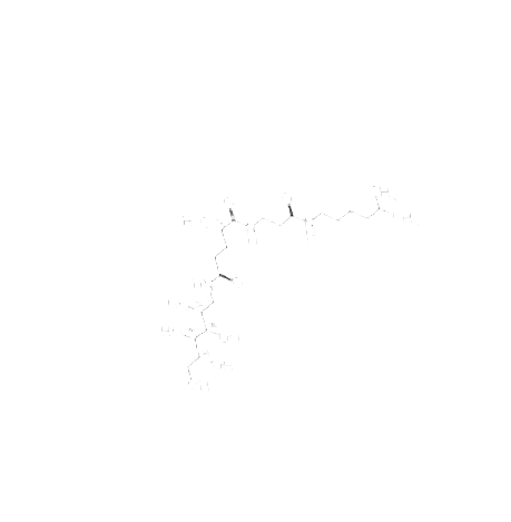 CC(C)CCCCNC(=O)CCNC(=O)[C@@H](C)CCC(=O)NC[C@H](O)[C@@H](O)[C@H](O)[C@H](O)CO